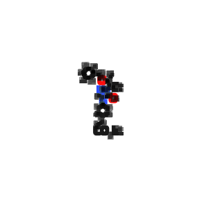 CCOC(=O)CCc1ccc(-n2cnn([C@@H](CC)[C@H](C)OCc3ccccc3)c2=O)cc1